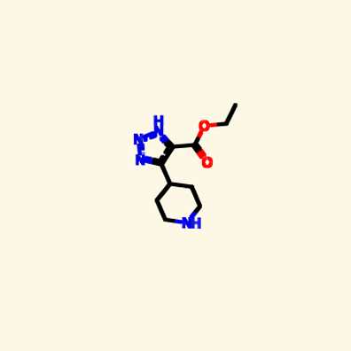 CCOC(=O)c1[nH]nnc1C1CCNCC1